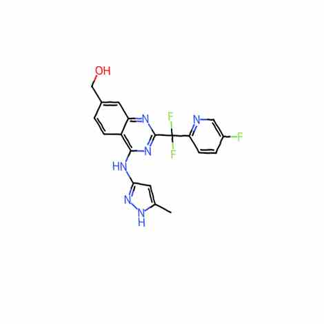 Cc1cc(Nc2nc(C(F)(F)c3ccc(F)cn3)nc3cc(CO)ccc23)n[nH]1